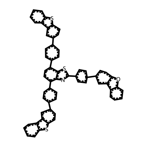 c1ccc2c(c1)oc1ccc(-c3ccc(-c4nc5c(-c6ccc(-c7ccc8sc9ccccc9c8c7)cc6)ccc(-c6ccc(-c7ccc8sc9ccccc9c8c7)cc6)c5s4)cc3)cc12